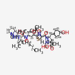 CCCCCON(C(=O)[C@@H](NC(=O)C1CCCCN1C)[C@@H](C)CC)[C@H](C[C@@H](OC(C)=O)c1nc(C(=O)N[C@@H](Cc2ccc(O)cc2)CC(C)(C)C(=O)O)cs1)C(C)C